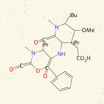 CCC(C)C(C(CCC(=O)O)OC)N(C)C(=C=O)C(NC(=C=O)C(C(C)C)N(C)C(=C=O)OCc1ccccc1)C(C)C